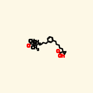 CC(=O)C(C)(C)CCCCCc1cccc(CCCCCC2(C(=O)O)CC2)c1